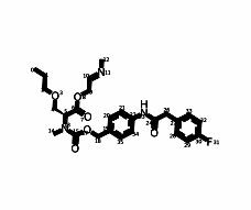 CCCOC[C@@H](C(=O)OC/C=N/C)N(C)C(=O)OCc1ccc(NC(=O)Cc2ccc(F)cc2)cc1